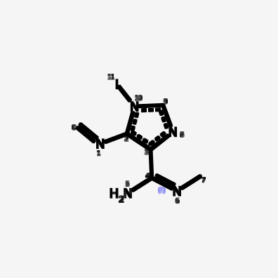 C=Nc1c(/C(N)=N\C)ncn1I